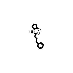 O=C(CCCc1ccccc1)N[C@H]1CCCC1=O